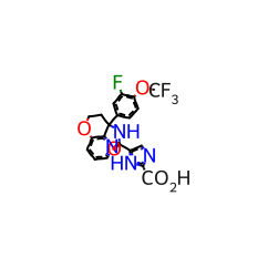 O=C(NC1(c2ccc(OC(F)(F)F)c(F)c2)CCOc2cccnc21)c1cnc(C(=O)O)[nH]1